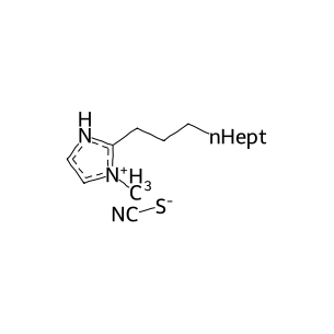 CCCCCCCCCCc1[nH]cc[n+]1C.N#C[S-]